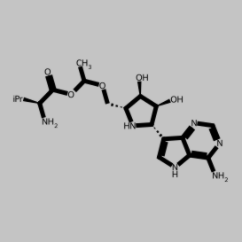 CC(OC[C@H]1N[C@@H](c2c[nH]c3c(N)ncnc23)[C@H](O)[C@@H]1O)OC(=O)[C@@H](N)C(C)C